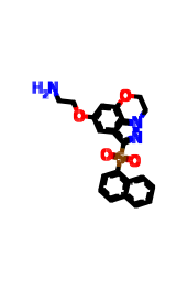 NCCOc1cc2c3c(c1)c(S(=O)(=O)c1cccc4ccccc14)nn3CCO2